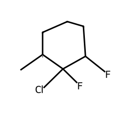 C[C]1CCCC(F)C1(F)Cl